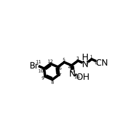 N#CCNCC(Cc1cccc(Br)c1)=NO